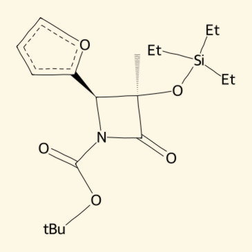 CC[Si](CC)(CC)O[C@@]1(C)C(=O)N(C(=O)OC(C)(C)C)[C@H]1c1ccco1